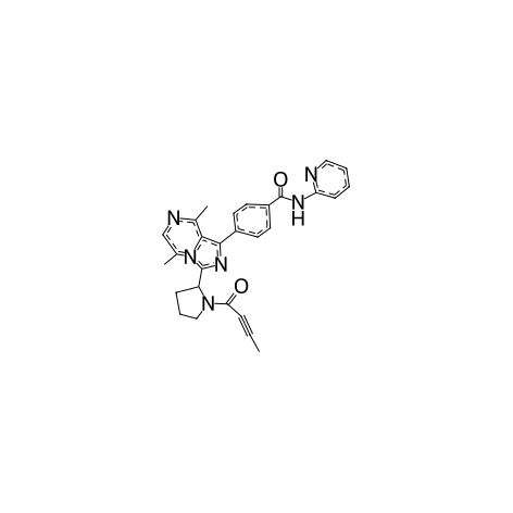 CC#CC(=O)N1CCCC1c1nc(-c2ccc(C(=O)Nc3ccccn3)cc2)c2c(C)ncc(C)n12